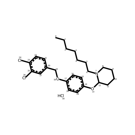 CCCCCCCN1CCCCC1Oc1ccc(OCc2ccc(Cl)c(Cl)c2)cc1.Cl